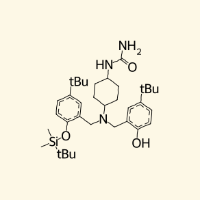 CC(C)(C)c1ccc(O)c(CN(Cc2cc(C(C)(C)C)ccc2O[Si](C)(C)C(C)(C)C)C2CCC(NC(N)=O)CC2)c1